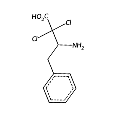 NC(Cc1ccccc1)C(Cl)(Cl)C(=O)O